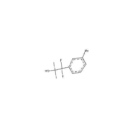 CC(C)c1cccc(C(F)(F)C(C)(C)O)c1